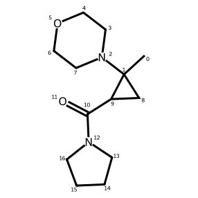 CC1(N2CCOCC2)CC1C(=O)N1CCCC1